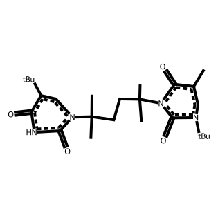 Cc1cn(C(C)(C)C)c(=O)n(C(C)(C)CCC(C)(C)n2cc(C(C)(C)C)c(=O)[nH]c2=O)c1=O